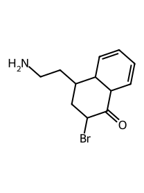 NCCC1CC(Br)C(=O)C2C=CC=CC12